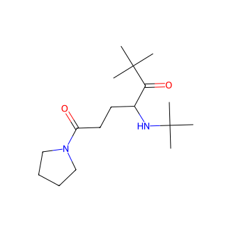 CC(C)(C)NC(CCC(=O)N1CCCC1)C(=O)C(C)(C)C